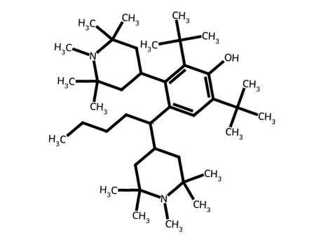 CCCC[C](c1cc(C(C)(C)C)c(O)c(C(C)(C)C)c1C1CC(C)(C)N(C)C(C)(C)C1)C1CC(C)(C)N(C)C(C)(C)C1